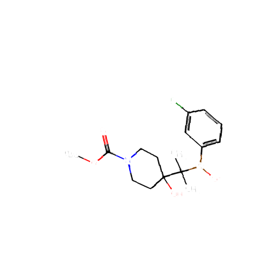 CC(C)(C)OC(=O)N1CCC(O)(C(C)(C)[S+]([O-])c2cccc(F)c2)CC1